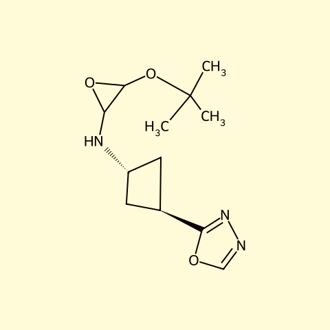 CC(C)(C)OC1OC1N[C@H]1C[C@H](c2nnco2)C1